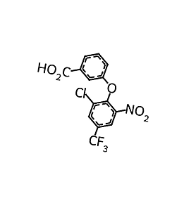 O=C(O)c1cccc(Oc2c(Cl)cc(C(F)(F)F)cc2[N+](=O)[O-])c1